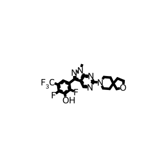 Cn1nc(-c2cc(C(F)(F)F)c(F)c(O)c2F)c2cnc(N3CCC4(CCOC4)CC3)nc21